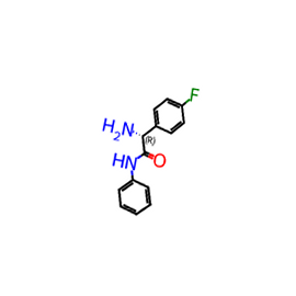 N[C@@H](C(=O)Nc1ccccc1)c1ccc(F)cc1